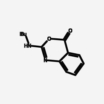 CCC(C)Nc1nc2ccccc2c(=O)o1